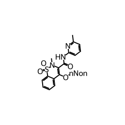 CCCCCCCCCOC1=C(C(=O)Nc2cccc(C)n2)N(C)S(=O)(=O)c2ccccc21